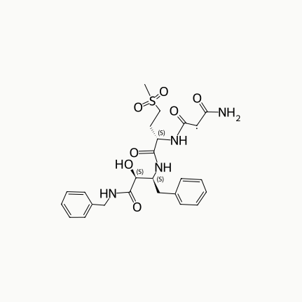 CS(=O)(=O)CC[C@H](NC(=O)[CH]C(N)=O)C(=O)N[C@@H](Cc1ccccc1)[C@H](O)C(=O)NCc1ccccc1